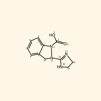 O=C(O)N1c2ccccc2CN1C1=NCCN1